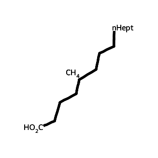 C.CCCCCCCCCCCCCCC(=O)O